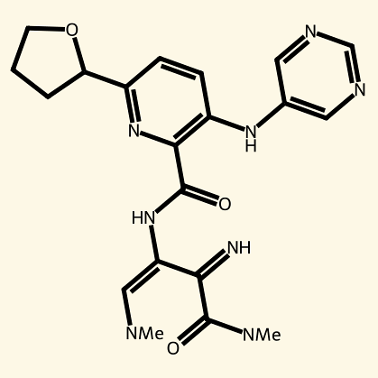 CN/C=C(/NC(=O)c1nc(C2CCCO2)ccc1Nc1cncnc1)C(=N)C(=O)NC